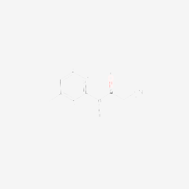 Cc1cccc(C(C(=O)CC#N)C(C)C)c1